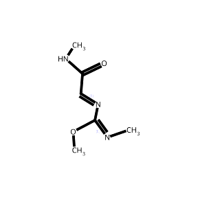 C/N=C(\N=C\C(=O)NC)OC